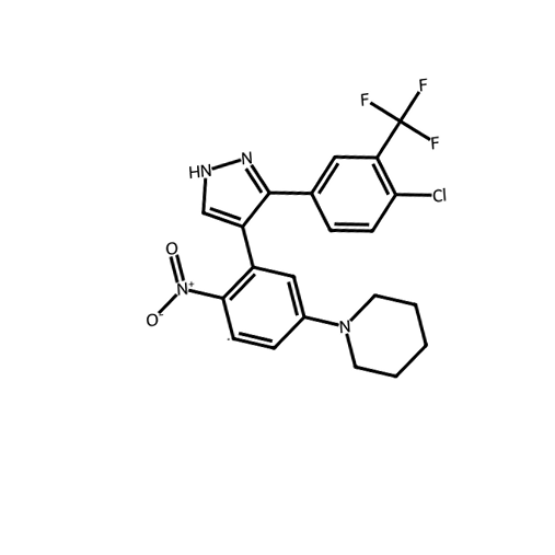 O=[N+]([O-])c1[c]cc(N2CCCCC2)cc1-c1c[nH]nc1-c1ccc(Cl)c(C(F)(F)F)c1